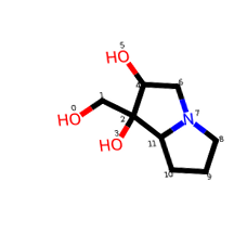 OCC1(O)C(O)CN2CCCC21